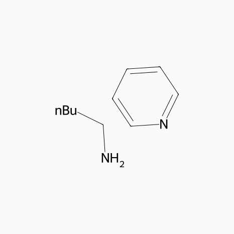 CCCCCN.c1ccncc1